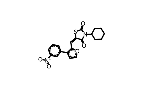 O=C1SC(=Cc2occc2-c2cccc([N+](=O)[O-])c2)C(=O)N1C1CCCCC1